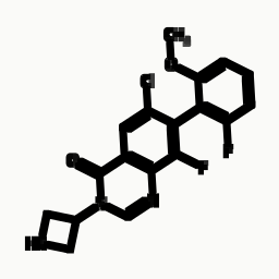 COc1cccc(F)c1-c1c(Cl)cc2c(=O)n(C3CNC3)cnc2c1F